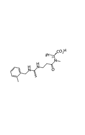 Cc1ccccc1CNC(=S)NCCC(=O)N(C)[C@H](C(=O)O)C(C)C